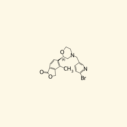 Cc1c([C@@H]2CN(Cc3ccc(Br)nc3)CCO2)ccc2c1COC2=O